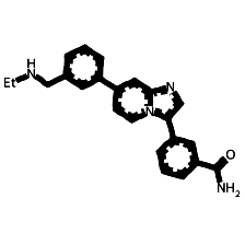 CCNCc1cccc(-c2ccn3c(-c4cccc(C(N)=O)c4)cnc3c2)c1